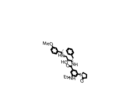 CCNc1cc(C(=O)N[C@@H](Cc2ccccc2)[C@@H](O)CN[C@@H](C)c2cccc(OC)c2)cc(N2CCCC2=O)c1